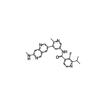 CNc1cc2ncc(-c3cc(NC(=O)c4ccnc(C(C)C)c4F)cnc3C)cc2cn1